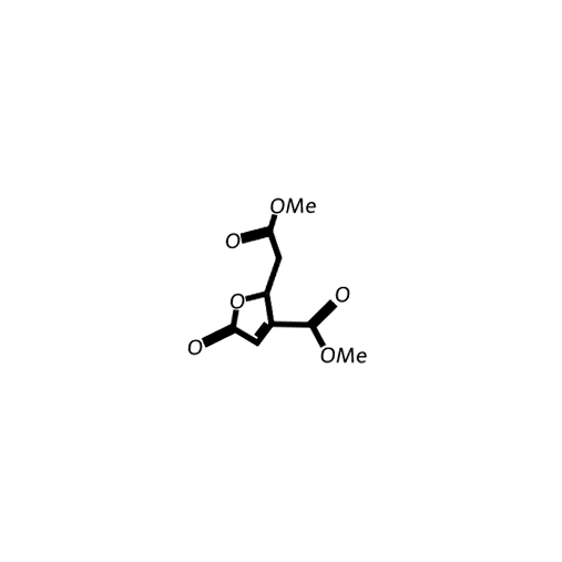 COC(=O)CC1OC(=O)C=C1C(=O)OC